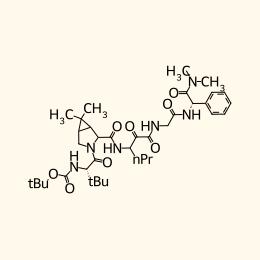 CCCC(NC(=O)C1C2C(CN1C(=O)[C@@H](NC(=O)OC(C)(C)C)C(C)(C)C)C2(C)C)C(=O)C(=O)NCC(=O)N[C@H](C(=O)N(C)C)c1ccccc1